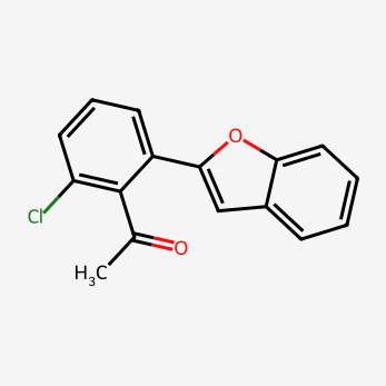 CC(=O)c1c(Cl)cccc1-c1cc2ccccc2o1